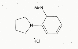 CNc1ccccc1N1CCCC1.Cl